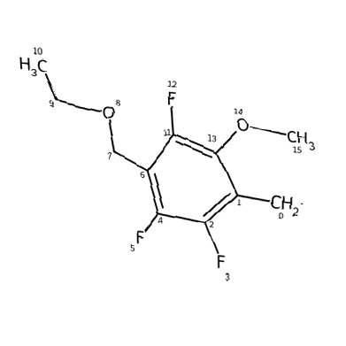 [CH2]c1c(F)c(F)c(COCC)c(F)c1OC